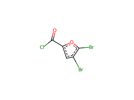 O=C(Cl)c1cc(Br)c(Br)o1